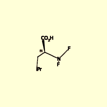 CC(C)C[C@@H](C(=O)O)N(F)F